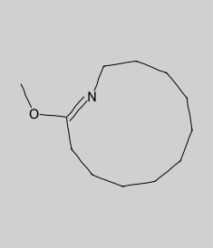 CO/C1=N\CCCCCCCCCC1